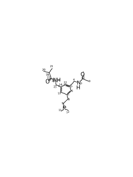 CC(=O)NCc1cc(CCN(C)C)cc(CNC(=O)C(C)C)c1